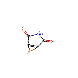 O=c1[nH]c(=O)c2sc1=2